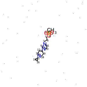 CS(=O)(=O)OCCCN1[C]N(C2CCN(C3CC3)CC2)CC1